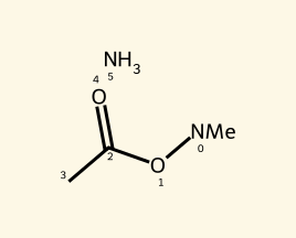 CNOC(C)=O.N